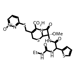 CCNC(=O)NC(C(=O)N[C@]1(OC)C(=O)N2C(C(=O)O)=C(CSc3ccc[n+]([O-])n3)CSC21)c1cccs1